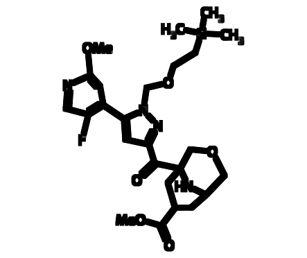 COC(=O)C1CC2COCC(C(=O)c3cc(-c4cc(OC)ncc4F)n(COCC[Si](C)(C)C)n3)(C1)N2